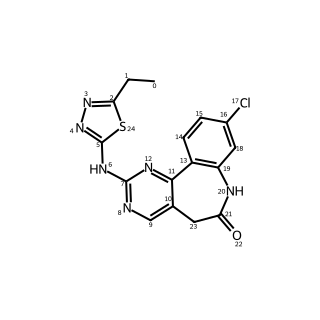 CCc1nnc(Nc2ncc3c(n2)-c2ccc(Cl)cc2NC(=O)C3)s1